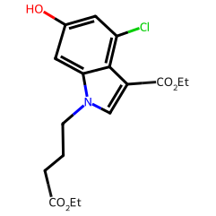 CCOC(=O)CCCn1cc(C(=O)OCC)c2c(Cl)cc(O)cc21